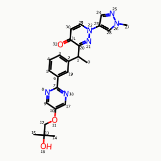 CC(c1cccc(-c2ncc(OCC(C)(C)O)cn2)c1)c1nn(-c2cnn(C)c2)ccc1=O